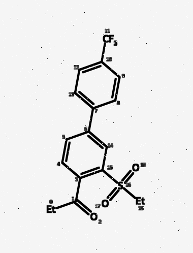 CCC(=O)c1ccc(-c2ccc(C(F)(F)F)cc2)cc1S(=O)(=O)CC